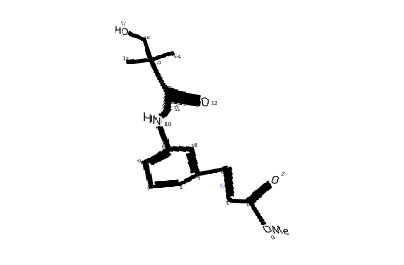 COC(=O)/C=C/c1cccc(NC(=O)C(C)(C)CO)c1